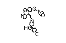 OC1(c2ccc(Cl)cc2)CCN(CCC=C2c3cc(OCCN4CCOCC4)ccc3OCC3N=CC=CC23)CC1